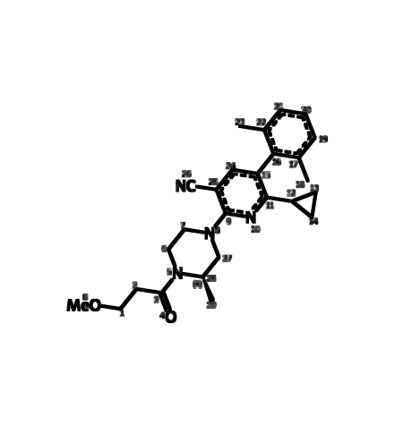 COCCC(=O)N1CCN(c2nc(C3CC3)c(-c3c(C)cccc3C)cc2C#N)C[C@H]1C